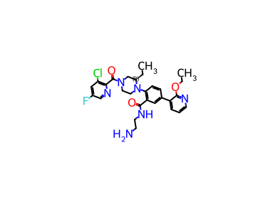 CCOc1ncccc1-c1ccc(N2CCN(C(=O)c3ncc(F)cc3Cl)C[C@H]2CC)c(C(=O)NCCN)c1